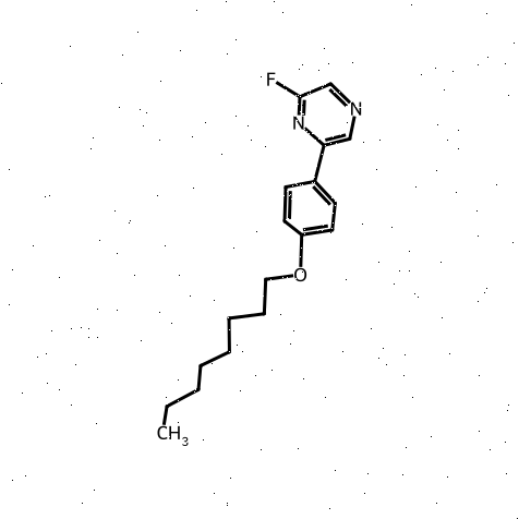 CCCCCCCCOc1ccc(-c2cncc(F)n2)cc1